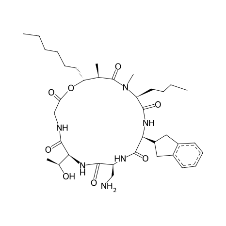 CCCCCC[C@H]1OC(=O)CNC(=O)[C@H]([C@H](C)O)NC(=O)[C@H](CN)NC(=O)[C@H](C2Cc3ccccc3C2)NC(=O)[C@H](CCCC)N(C)C(=O)[C@@H]1C